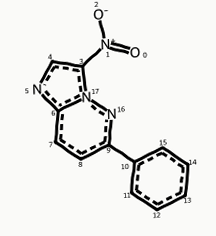 O=[N+]([O-])c1cnc2ccc(-c3ccccc3)nn12